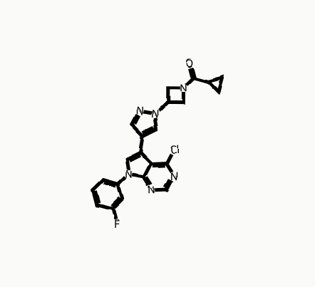 O=C(C1CC1)N1CC(n2cc(-c3cn(-c4cccc(F)c4)c4ncnc(Cl)c34)cn2)C1